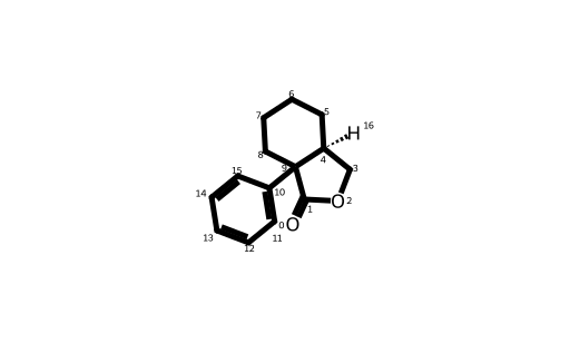 O=C1OC[C@@H]2CCCCC12c1ccccc1